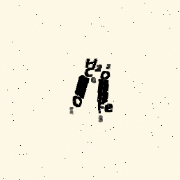 C=O.[O]=[Fe]